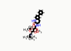 CO[C@@H](C(=O)NC1CCc2cc(-c3ccccc3)ccc2NC1=O)[C@@H]1OC(C)(C)O[C@H](/C=C/C(C)(C)C)[C@@H]1O